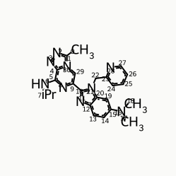 Cc1nnc2c(NC(C)C)nc(-c3nc4ccc(N(C)C)cc4n3Cc3ccccn3)cn12